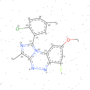 COc1cc(F)c2nnc3c(C)nc(-c4cc(C)ccc4Cl)n3c2c1